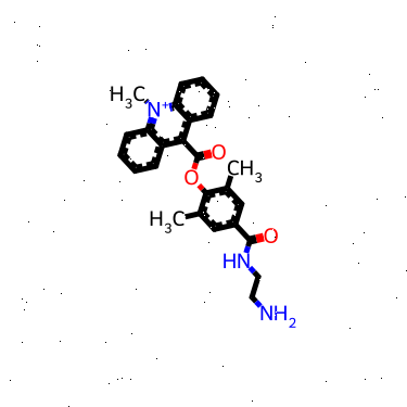 Cc1cc(C(=O)NCCN)cc(C)c1OC(=O)c1c2ccccc2[n+](C)c2ccccc12